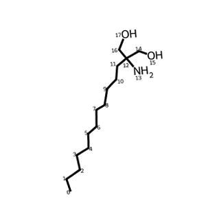 CCCCCCCCCCCCC(N)(CO)CO